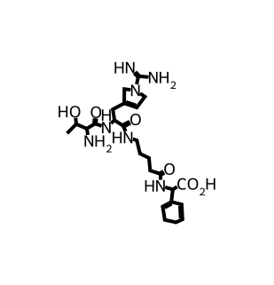 CC(O)C(N)C(=O)NC(CC1=CCN(C(=N)N)C1)C(=O)NCCCCC(=O)NC(C(=O)O)C1=CCCC=C1